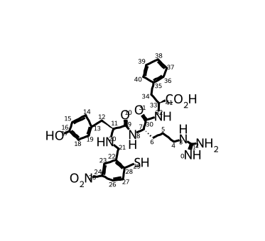 N=C(N)NCCC[C@H](NC(=O)[C@H](Cc1ccc(O)cc1)NCc1cc([N+](=O)[O-])ccc1S)C(=O)N[C@@H](Cc1ccccc1)C(=O)O